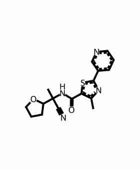 Cc1nc(-c2cccnc2)sc1C(=O)NC(C)(C#N)C1CCCO1